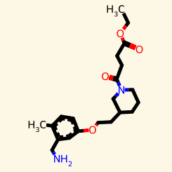 CCOC(=O)CCC(=O)N1CCCC(CCOc2ccc(C)c(CN)c2)C1